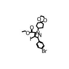 CCOC(=O)c1c(I)c(-c2ccc(Br)cc2)nn1C1CCC2(CC1)OCCO2